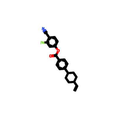 C=CC1CCC(c2ccc(C(=O)Oc3ccc(C#N)c(F)c3)cc2)CC1